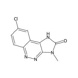 Cn1c(=O)[nH]c2c3cc(Cl)ccc3nnc21